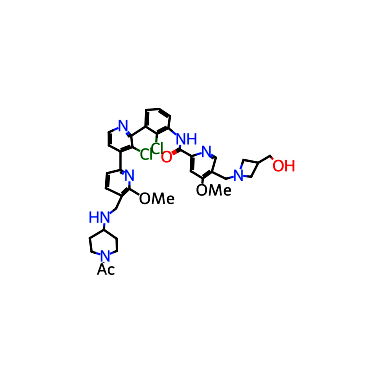 COc1cc(C(=O)Nc2cccc(-c3nccc(-c4ccc(CNC5CCN(C(C)=O)CC5)c(OC)n4)c3Cl)c2Cl)ncc1CN1CC(CO)C1